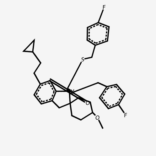 COC1CCC2(CC1)Cc1ccc(CCC3CC3)cc1C21N=C(SCc2ccc(F)cc2)N(Cc2ccc(F)cc2)C1=O